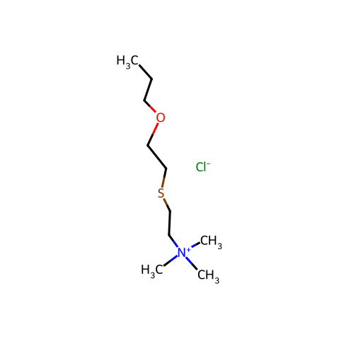 CCCOCCSCC[N+](C)(C)C.[Cl-]